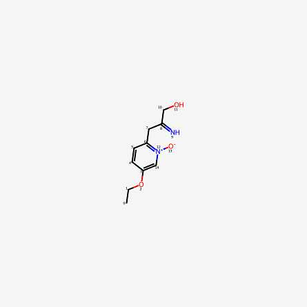 CCOc1ccc(CC(=N)CO)[n+]([O-])c1